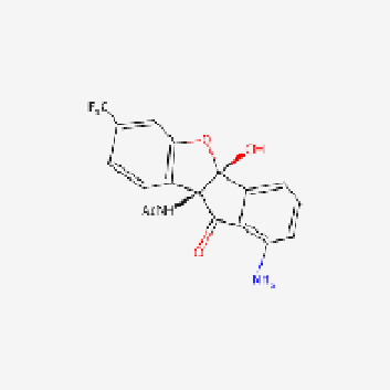 CC(=O)N[C@]12C(=O)c3c(N)cccc3[C@@]1(O)Oc1cc(C(F)(F)F)ccc12